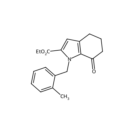 CCOC(=O)c1cc2c(n1Cc1ccccc1C)C(=O)CCC2